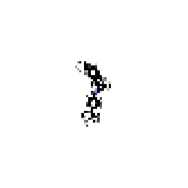 COC(=O)c1ccc(/C=C/S(=O)(=O)Cc2ccc(Cl)cc2)cc1